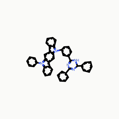 c1ccc(C2=NC(c3ccccc3)NC(c3cccc(-n4c5ccccc5c5cc6c(cc54)c4ccccc4n6-c4ccccc4)c3)=N2)cc1